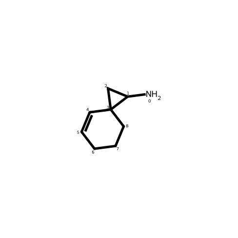 NC1CC12C=CCCC2